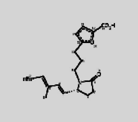 CCCC/C=C(C)/C=C/[C@H]1CCC(=O)N1CCCc1ccc(C(=O)O)o1